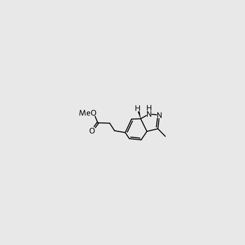 COC(=O)CCC1=C[C@@H]2NN=C(C)C2C=C1